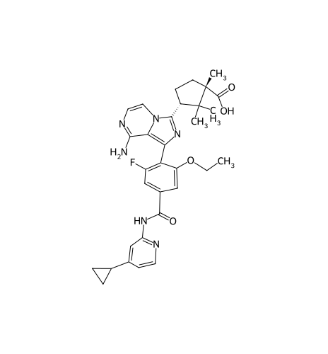 CCOc1cc(C(=O)Nc2cc(C3CC3)ccn2)cc(F)c1-c1nc([C@@H]2CC[C@](C)(C(=O)O)C2(C)C)n2ccnc(N)c12